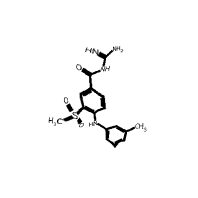 Cc1cccc(Nc2ccc(C(=O)NC(=N)N)cc2S(C)(=O)=O)c1